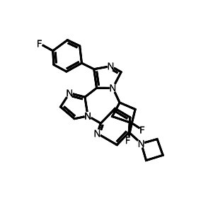 Fc1ccc(-c2ncn(C3CC(F)(F)C3)c2-c2nccn2-c2ccc(N3CCC3)cn2)cc1